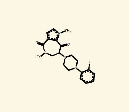 CCCN1CC(N2CCN(c3ccccc3F)CC2)C(=O)c2c(ccn2C)C1=O